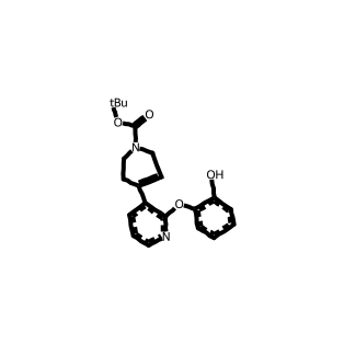 CC(C)(C)OC(=O)N1CC=C(c2cccnc2Oc2ccccc2O)CC1